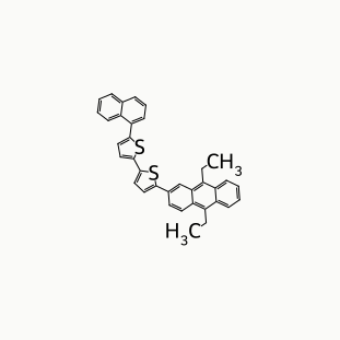 CCc1c2ccccc2c(CC)c2cc(-c3ccc(-c4ccc(-c5cccc6ccccc56)s4)s3)ccc12